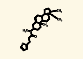 CC1C2CCC3C4CC=C5CC(N(C)C(=O)CCc6ccco6)CCC5(C)C4CCC32CN1C